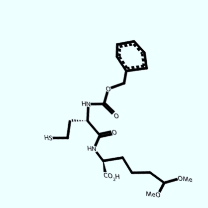 COC(CCC[C@H](NC(=O)[C@H](CCS)NC(=O)OCc1ccccc1)C(=O)O)OC